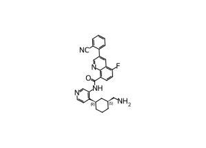 N#Cc1ccccc1-c1cnc2c(C(=O)Nc3cnccc3[C@@H]3CCC[C@H](CN)C3)ccc(F)c2c1